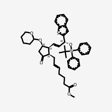 COC(=O)CCCC=CC[C@H]1C(=O)C[C@@H](OC2CCCCO2)[C@H]1C=C[C@@H](O[Si](c1ccccc1)(c1ccccc1)C(C)(C)C)c1cc2ccccc2s1